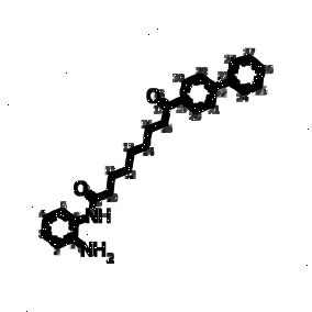 Nc1ccccc1NC(=O)CCCCCCCC(=O)c1ccc(-c2ccccc2)cc1